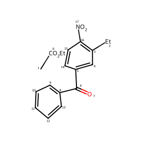 CCOC(C)=O.CCc1cc(C(=O)c2ccccc2)ccc1[N+](=O)[O-]